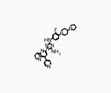 Nc1nc(Nc2ccc(N3CCC(N4CCCC4)CC3)c(F)c2)nn1-c1cc(-c2ccncc2)c2c(n1)C1CCN2CC1